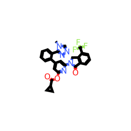 Cn1cnnc1-c1ccccc1-c1cc(OC(=O)C2CC2)nc(N2Cc3c(cccc3C(F)(F)F)C2=O)c1